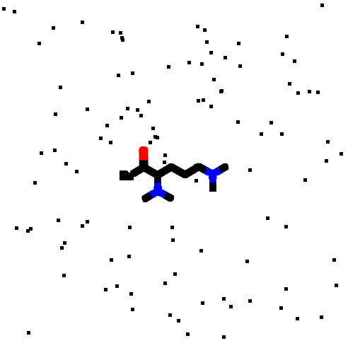 CCC(C)C(=O)C(CCCN(C)C)N(C)C